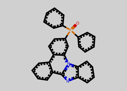 O=P(c1ccccc1)(c1ccccc1)c1ccc2c3ccccc3c3nc4ccccc4n3c2c1